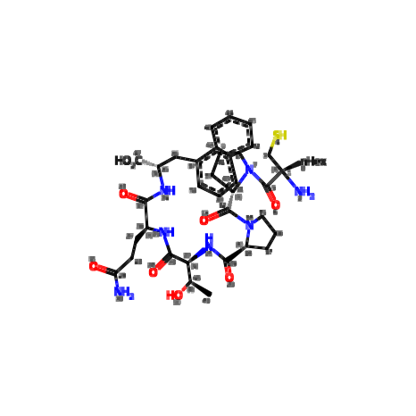 CCCCCC[C@](N)(CS)C(=O)N1CCC[C@H]1C(=O)N1CCC[C@H]1C(=O)N[C@H](C(=O)N[C@@H](CCC(N)=O)C(=O)N[C@@H](Cc1cccc2ccccc12)C(=O)O)[C@@H](C)O